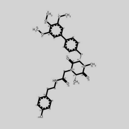 COc1cc(-c2ccc(C[C@H]3C(=O)N(CC(=O)NCCc4ccc(Cl)cc4)[C@@H](C)C(=O)N3C)cc2)cc(OC)c1OC